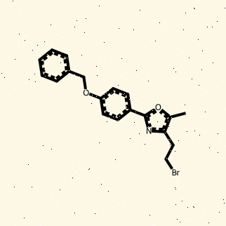 Cc1oc(-c2ccc(OCc3ccccc3)cc2)nc1CCBr